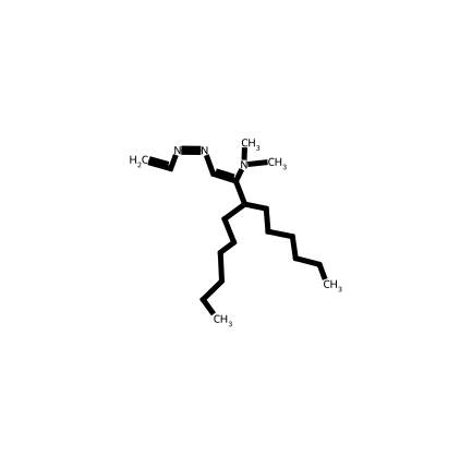 C=C/N=N\C=C(\C(CCCCCC)CCCCCC)N(C)C